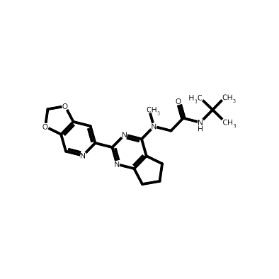 CN(CC(=O)NC(C)(C)C)c1nc(-c2cc3c(cn2)OCO3)nc2c1CCC2